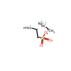 CC#N.CCCCCCCCS(=O)(=O)[O-].[Na+]